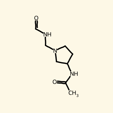 CC(=O)NC1CCN(CNC=O)C1